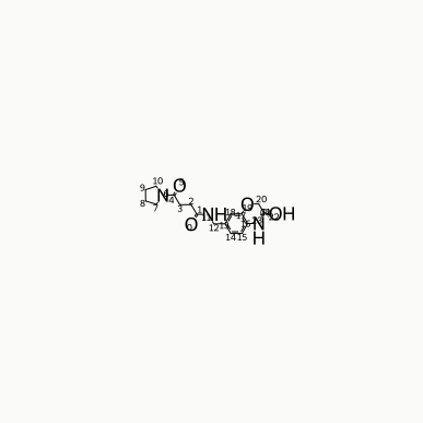 O=C(CCC(=O)N1CCCC1)NCc1ccc2c(c1)OC[C@@H](O)N2